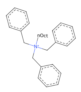 CCCCCCCC[N+](Cc1ccccc1)(Cc1ccccc1)Cc1ccccc1